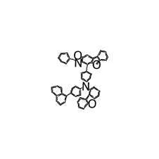 c1ccc(-c2nc3c(-c4ccc(N(c5ccc(-c6cccc7ccccc67)cc5)c5cccc6oc7ccccc7c56)cc4)c4oc5ccccc5c4cc3o2)cc1